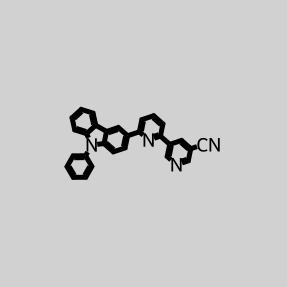 N#Cc1cncc(-c2cccc(-c3ccc4c(c3)c3ccccc3n4-c3ccccc3)n2)c1